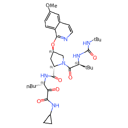 CCCC[C@H](NC(=O)[C@@H]1C[C@@H](Oc2nccc3cc(OC)ccc23)CN1C(=O)[C@@H](NC(=O)NC(C)(C)C)C(C)(C)C)C(=O)C(=O)NC1CC1